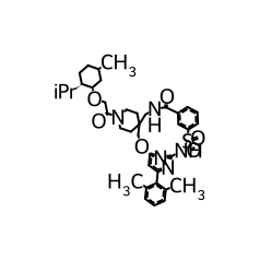 Cc1cccc(C)c1-c1cc2nc(n1)NS(=O)(=O)c1cccc(c1)C(=O)NCC1(CCN(C(=O)CO[C@@H]3C[C@H](C)CC[C@H]3C(C)C)CC1)CO2